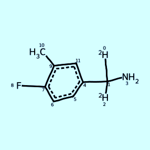 [2H]C([2H])(N)c1ccc(F)c(C)c1